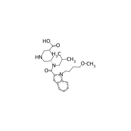 COCCCCn1c(C(=O)N(CC(C)C)[C@@H]2CNCC(C(=O)O)C2)cc2ccccc21